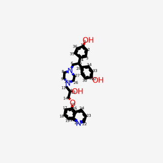 Oc1ccc(C(CN2CCN(CC(O)COc3cccc4ncccc34)CC2)c2ccc(O)cc2)cc1